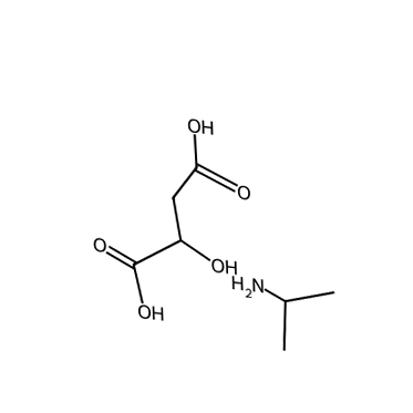 CC(C)N.O=C(O)CC(O)C(=O)O